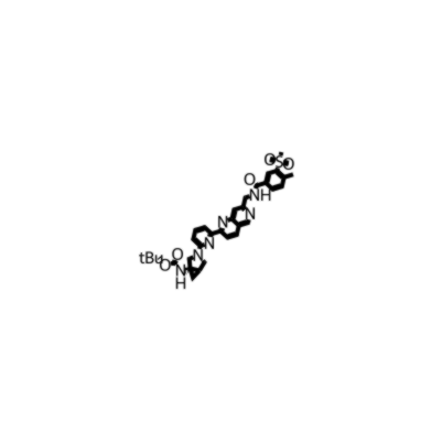 Cc1ccc(C(=O)NCc2cc3nc(-c4cccc(N5CC6C[C@]6(NC(=O)OC(C)(C)C)C5)n4)ccc3cn2)cc1S(C)(=O)=O